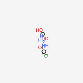 O=C(NCCNC(=O)c1ccc(O)cn1)c1ccc(Cl)cc1